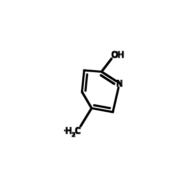 [CH2]c1ccc(O)nc1